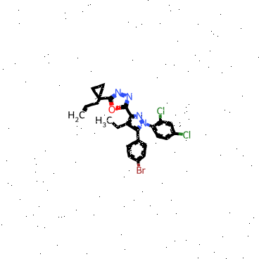 C=CCC1(c2nnc(-c3nn(-c4ccc(Cl)cc4Cl)c(-c4ccc(Br)cc4)c3CC)o2)CC1